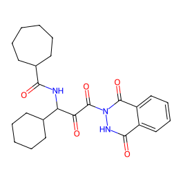 O=C(NC(C(=O)C(=O)n1[nH]c(=O)c2ccccc2c1=O)C1CCCCC1)C1CCCCCC1